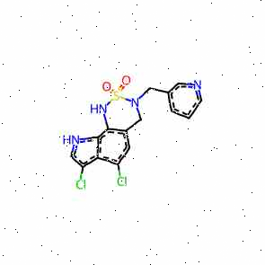 O=S1(=O)Nc2c(cc(Cl)c3c(Cl)c[nH]c23)CN1Cc1cccnc1